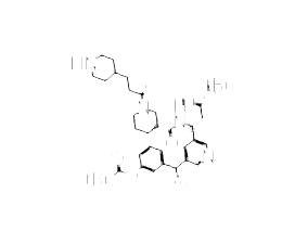 CC(=O)C(c1cccc(OC(=O)C(C)(C)C)c1)c1cncc([C@H](CC(=O)OC(C)(C)C)NC(=O)[C@@H]2CCCN(C(=O)CCC3CCNCC3)C2)c1